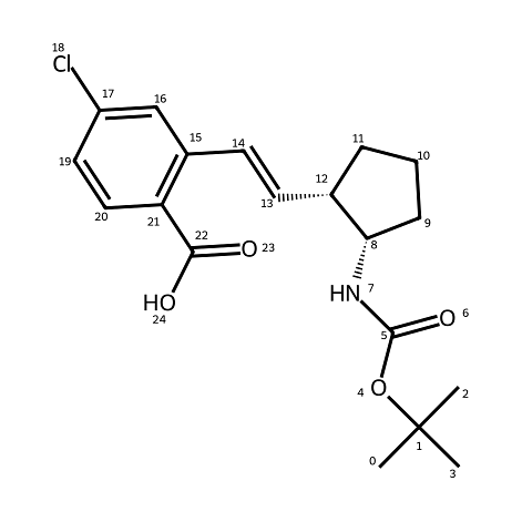 CC(C)(C)OC(=O)N[C@H]1CCC[C@H]1C=Cc1cc(Cl)ccc1C(=O)O